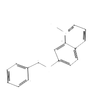 [O-][n+]1cccc2ccc(OCc3ccccc3)cc21